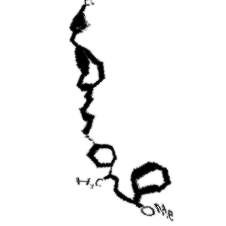 CCC=CCc1ccc(CCCC[C@H]2CC[C@H](C(C)CCC(OC)c3ccccc3)CC2)cc1